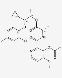 COc1ccnc(C(=O)N[C@@H](C)C(=O)O[C@@H](C)[C@H](Oc2ccc(C)cc2Cl)C2CC2)c1OC(C)=O